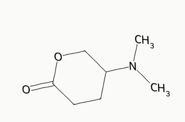 CN(C)C1CCC(=O)OC1